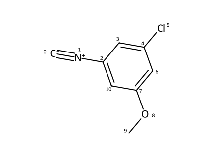 [C-]#[N+]c1cc(Cl)cc(OC)c1